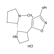 CCCc1cc(C2CCN[C@@H]2C2CCCN2C)on1.Cl